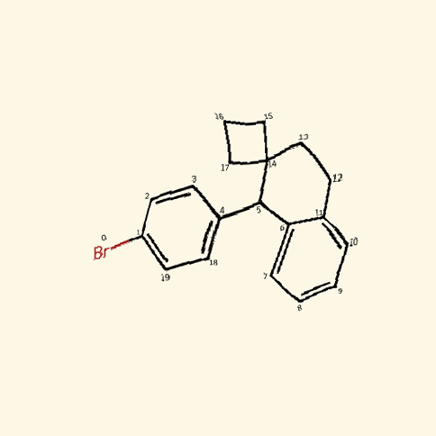 Brc1ccc(C2c3ccccc3CCC23CCC3)cc1